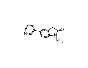 NN1C(=O)Cc2cc(-c3cccnc3)ccc21